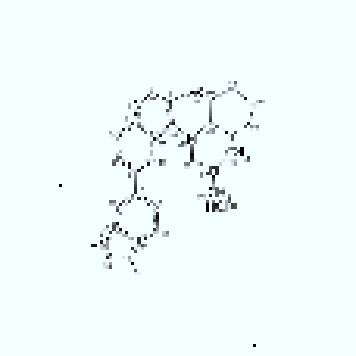 CC(=O)c1cnc2ccc(-c3ccc4nc[nH]c4c3)cc2c1N(CN(C)C)C1CCCCC1.Cl